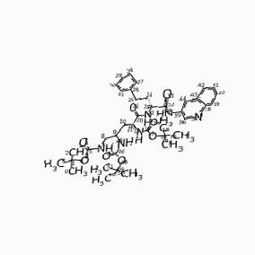 CC(C)(C)OC(=O)NCC(C[C@H](NC(=O)OC(C)(C)C)C(=O)N[C@H](CCc1ccccc1)C(=O)Nc1cnc2ccccc2c1)NC(=O)OC(C)(C)C